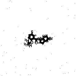 [2H]C([2H])([2H])Oc1ccc(F)cc1C(=O)NC1CCc2cc(Br)ccc21